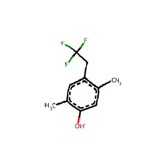 Cc1cc(CC(F)(F)F)c(C)cc1O